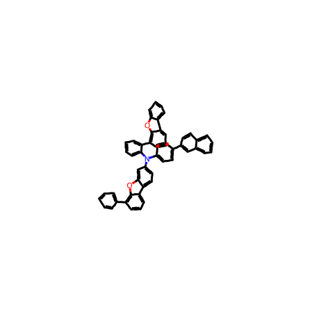 c1ccc(-c2cccc3c2oc2cc(N(c4ccc(-c5ccc6ccccc6c5)cc4)c4ccccc4-c4cccc5c4oc4ccccc45)ccc23)cc1